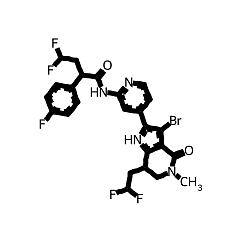 CN1CC(CC(F)F)c2[nH]c(-c3ccnc(NC(=O)C(CC(F)F)c4ccc(F)cc4)c3)c(Br)c2C1=O